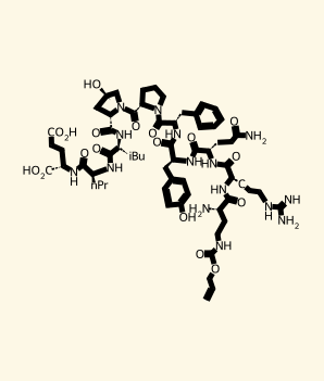 C=CCOC(=O)NCC[C@H](N)C(=O)N[C@@H](CCCNC(=N)N)C(=O)N[C@@H](CCC(N)=O)C(=O)N[C@@H](Cc1ccc(O)cc1)C(=O)N[C@@H](Cc1ccccc1)C(=O)N1CCC[C@H]1C(=O)N1C[C@H](O)C[C@H]1C(=O)N[C@H](C(=O)N[C@@H](CCC)C(=O)N[C@@H](CCC(=O)O)C(=O)O)[C@@H](C)CC